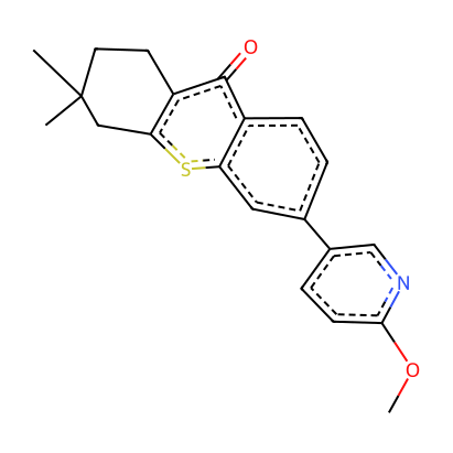 COc1ccc(-c2ccc3c(=O)c4c(sc3c2)CC(C)(C)CC4)cn1